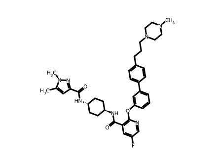 Cc1cc(C(=O)N[C@H]2CC[C@H](NC(=O)c3cc(F)cnc3Oc3cccc(-c4ccc(CCCN5CCN(C)CC5)cc4)c3)CC2)nn1C